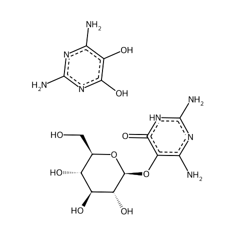 Nc1nc(N)c(O)c(O)n1.Nc1nc(N)c(O[C@@H]2O[C@H](CO)[C@@H](O)[C@H](O)[C@H]2O)c(=O)[nH]1